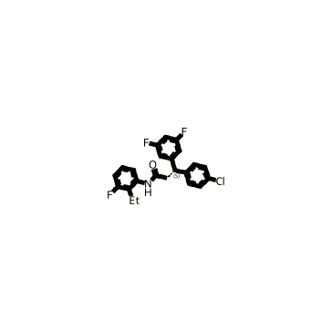 CCc1c(F)cccc1NC(=O)C[C@@H](c1ccc(Cl)cc1)c1cc(F)cc(F)c1